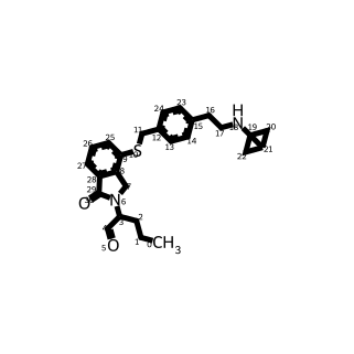 CCCC(C=O)N1Cc2c(SCc3ccc(CCNC45CC4C5)cc3)cccc2C1=O